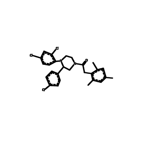 Cc1cc(C)c(CC(=O)N2CCN(c3ccc(Cl)cc3Cl)C(c3ccc(Cl)cc3)C2)c(C)c1